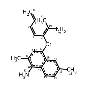 C=C/C=C\C(Oc1nc(C)c(N)c2ccc(C)cc12)=C(/C)N